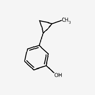 CC1CC1c1cccc(O)c1